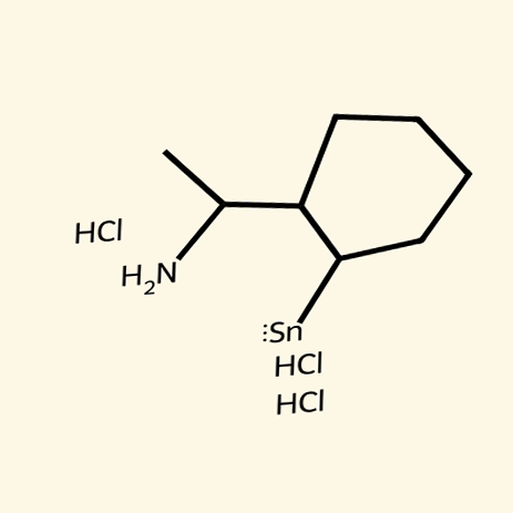 CC(N)C1CCCC[CH]1[Sn].Cl.Cl.Cl